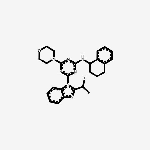 FC(F)c1nc2ccccc2n1-c1nc(NC2CCCc3ccccc32)nc(N2CCOCC2)n1